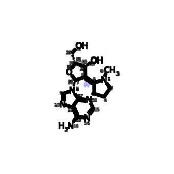 CN1CCC/C1=C1\[C@H](n2cnc3c(N)ncnc32)O[C@H](CO)[C@H]1O